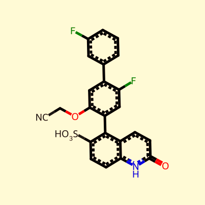 N#CCOc1cc(-c2cccc(F)c2)c(F)cc1-c1c(S(=O)(=O)O)ccc2[nH]c(=O)ccc12